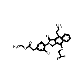 CCCc1c2c(c(OCC(F)F)c3ccccc13)CN(c1ccc(CC(=O)OCC)cc1Cl)C2=O